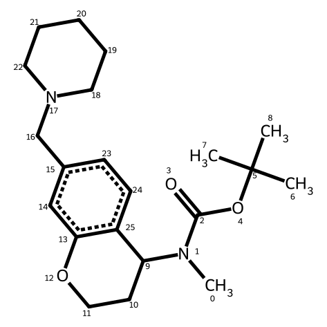 CN(C(=O)OC(C)(C)C)C1CCOc2cc(CN3CCCCC3)ccc21